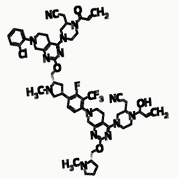 C=CC(=O)N1CCN(c2nc(OC[C@@H]3CC(c4ccc(N5CCc6c(nc(OC[C@@H]7CCCN7C)nc6N6CCN(C(O)C=C)C(CC#N)C6)C5)c(C(F)(F)F)c4F)CN3C)nc3c2CCN(c2ccccc2Cl)C3)CC1CC#N